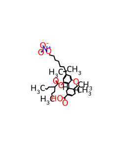 CCCC(CCC)C(=O)Oc1cc(C(C)(C)CCCCCCO[N+](=O)[O-])cc2c1[C@@H]1CC(C(=O)O)=CC[C@H]1C(C)(C)O2